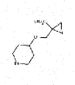 CCOC(=O)C1(COC2CCNCC2)CC1